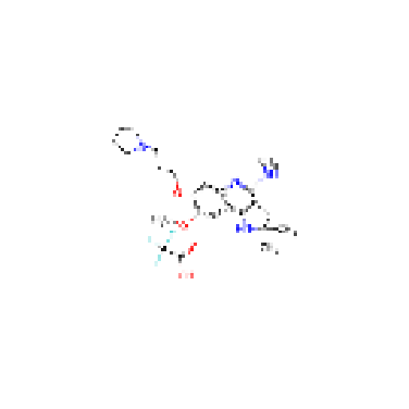 CNc1nc2cc(OCCCN3CCCC3)c(OC)cc2c2c1CC(C)(C)N2.O=C(O)C(F)(F)F